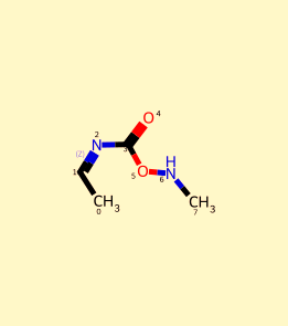 C/C=N\C(=O)ONC